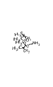 C=C(C)C(=O)OCCN.CCCl.CN(C)C